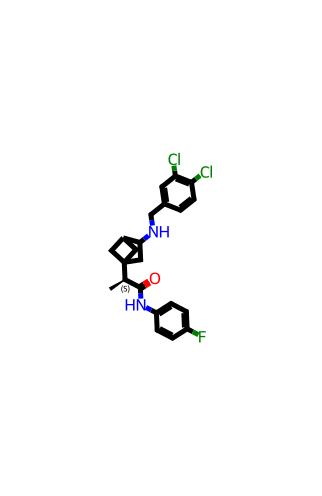 C[C@H](C(=O)Nc1ccc(F)cc1)C12CC(C1)C(NCc1ccc(Cl)c(Cl)c1)C2